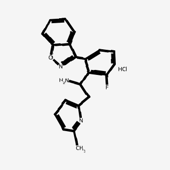 Cc1cccc(CC(N)c2c(F)cccc2-c2noc3ccccc23)n1.Cl